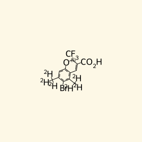 [2H]C([2H])([2H])c1cc2c(c(C([2H])([2H])[2H])c1Br)C=C(C(=O)O)[C@@H](C(F)(F)F)O2